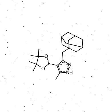 Cc1[nH]nc(CC23CC4CC(CC(C4)C2)C3)c1B1OC(C)(C)C(C)(C)O1